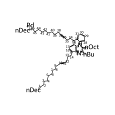 CCCCCCCCCCCCCCCCCCCC#CCCCc1ccccc1N=C(CCCC)C(CCCCCCCC)=Nc1ccccc1CCCC#CCCCCCCCCCCCCCCCCCCC.[Pd]